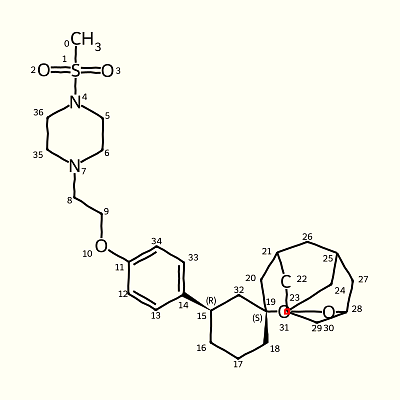 CS(=O)(=O)N1CCN(CCOc2ccc([C@@H]3CCC[C@]4(CC5CC6CC(C5)CC(C6)OO4)C3)cc2)CC1